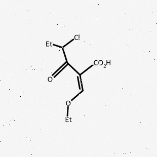 CCOC=C(C(=O)O)C(=O)C(Cl)CC